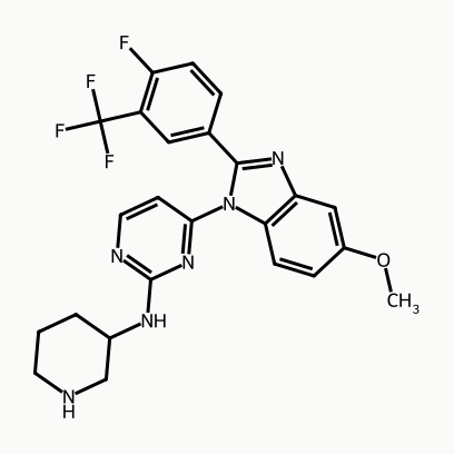 COc1ccc2c(c1)nc(-c1ccc(F)c(C(F)(F)F)c1)n2-c1ccnc(NC2CCCNC2)n1